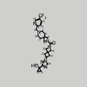 O=C(N1CC2(CCN(Cc3ccc(C(F)(F)F)cn3)CC2)C1)N1CC2(CC(n3cnc(C4(O)CC4)n3)C2)C1